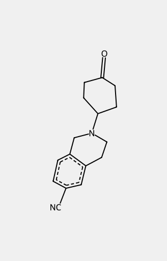 N#Cc1ccc2c(c1)CCN(C1CCC(=O)CC1)C2